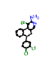 Nc1ncc2c(c1Br)-c1ccccc1C(c1ccc(Cl)c(Cl)c1)C2